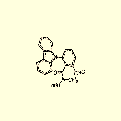 CCCCN(C)C(=O)c1c(C=O)cccc1-n1c2ccccc2c2ccccc21